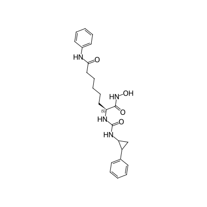 O=C(CCCCC[C@H](NC(=O)NC1CC1c1ccccc1)C(=O)NO)Nc1ccccc1